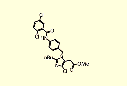 CCCCc1nc(Cl)c(CC(=O)OC)n1Cc1ccc(NC(=O)c2cc(Cl)ccc2Cl)cc1